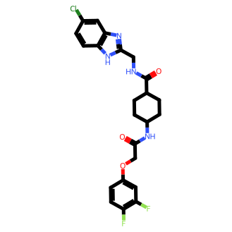 O=C(COc1ccc(F)c(F)c1)NC1CCC(C(=O)NCc2nc3cc(Cl)ccc3[nH]2)CC1